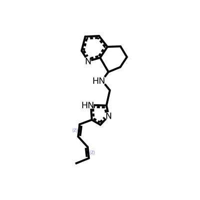 C/C=C\C=C/c1cnc(CNC2CCCc3cccnc32)[nH]1